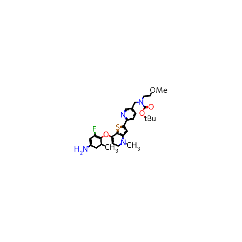 COCCN(Cc1ccc(-c2cc3c(s2)C(OC2=C(F)C=C(N)CC2C)=CCN3C)nc1)C(=O)OC(C)(C)C